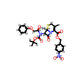 CC1=C(C(=O)OCc2ccc([N+](=O)[O-])cc2)N2C(=O)[C@@H](N(C(=O)COc3ccccc3)C(=O)OC(C)(C)C)[C@H]2SC1